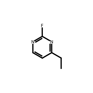 CCc1ccnc(F)n1